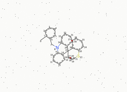 Cc1ccccc1CN1c2ccccc2C2(c3ccccc3Sc3ccccc32)c2ccccc21